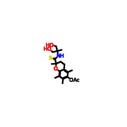 CC(=O)Oc1c(C)c(C)c2c(c1C)CCC(C)(C(=S)NC(C)(CO)CO)O2